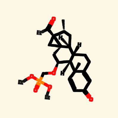 CCOP(=O)(CO[C@H]1C[C@]23C[C@]2(C(=O)CC)[C@H](C)C[C@H]3[C@@H]2CCC3=CC(=O)C=C[C@]3(C)[C@H]21)OCC